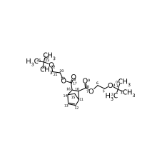 CC(C)(C)OCCOC(=O)C1C2C=CC(C2)C1C(=O)OCCOC(C)(C)C